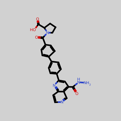 NNC(=O)c1cc(-c2ccc(-c3ccc(C(=O)N4CCCC4C(=O)O)cc3)cc2)nc2ccncc12